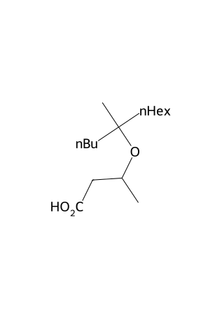 CCCCCCC(C)(CCCC)OC(C)CC(=O)O